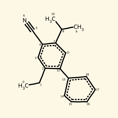 CCc1cc(C#N)c(C(C)C)cc1-c1ccccc1